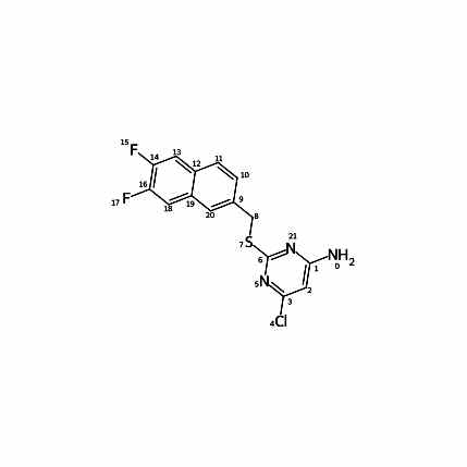 Nc1cc(Cl)nc(SCc2ccc3cc(F)c(F)cc3c2)n1